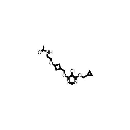 CC(=O)NCCOC1CC(COc2ncnc(OCC3CC3)c2Cl)C1